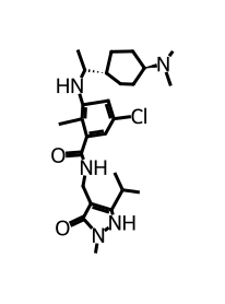 Cc1c(NC(C)[C@H]2CC[C@H](N(C)C)CC2)cc(Cl)cc1C(=O)NCc1c(C(C)C)[nH]n(C)c1=O